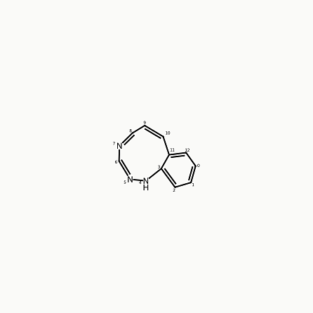 c1ccc2[nH]ncncccc2c1